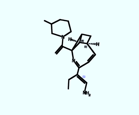 C=C(N1CCCC(C)C1)C12N=C(/C(=C/N)CC)C=C[C@@H]3CC1[C@@H]32